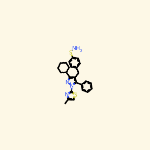 Cc1csc(-n2nc(C3CCCCC3)c(Cc3ccc(SN)cc3)c2-c2ccccc2)n1